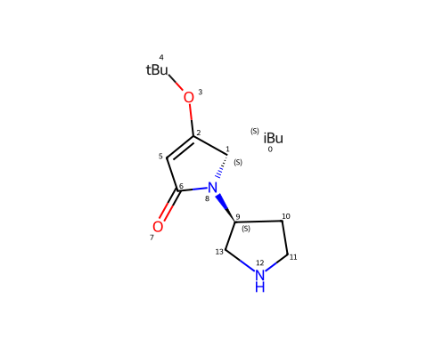 CC[C@H](C)[C@H]1C(OC(C)(C)C)=CC(=O)N1[C@H]1CCNC1